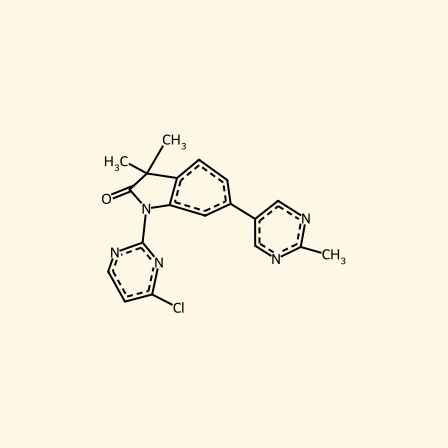 Cc1ncc(-c2ccc3c(c2)N(c2nccc(Cl)n2)C(=O)C3(C)C)cn1